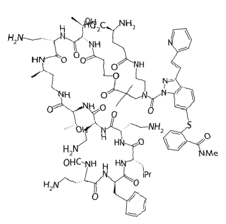 CNC(=O)c1ccccc1Sc1ccc2c(/C=C/c3ccccn3)nn(C(=O)N(CCNC(=O)CC[C@H](N)C(=O)O)CC(C)(C)C(=O)OCCC(=O)N[C@H](C(=O)N[C@@H](CCN)C(=O)N[C@H](C)CCNC(=O)[C@@H](NC(=O)[C@H](CCN)NC(=O)[C@H](CCN)NC(=O)[C@H](CC(C)C)NC(=O)[C@@H](Cc3ccccc3)NC(=O)[C@H](CCN)NC=O)[C@@H](C)O)[C@@H](C)O)c2c1